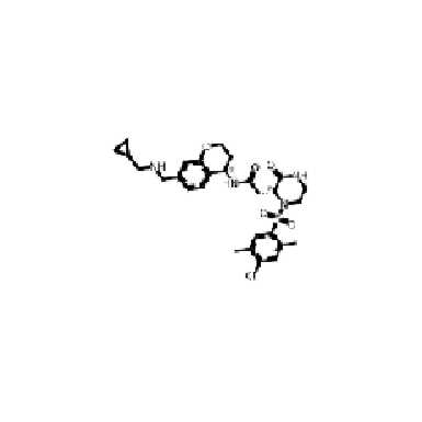 Cc1cc(S(=O)(=O)N2CCNC(=O)[C@H]2CC(=O)N[C@@H]2CCOc3cc(CNCC4CC4)ccc32)c(C)cc1Cl